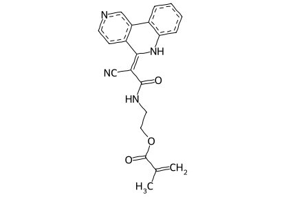 C=C(C)C(=O)OCCNC(=O)/C(C#N)=C1\Nc2ccccc2-c2cnccc21